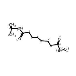 C=C(C)NC(=O)CCCCCCC(=O)NO